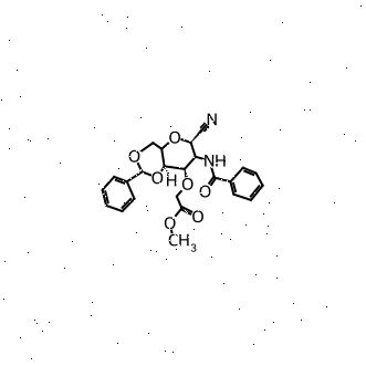 COC(=O)CO[C@@H]1C(NC(=O)c2ccccc2)[C@H](C#N)OC2COC(c3ccccc3)O[C@@H]21